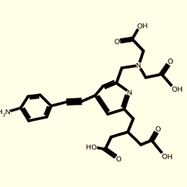 Nc1ccc(C#Cc2cc(CC(CC(=O)O)CC(=O)O)nc(CN(CC(=O)O)CC(=O)O)c2)cc1